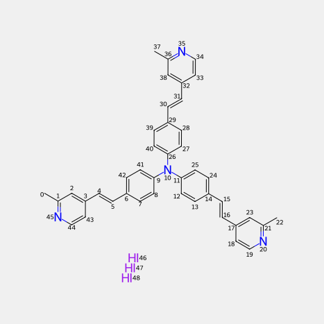 Cc1cc(C=Cc2ccc(N(c3ccc(C=Cc4ccnc(C)c4)cc3)c3ccc(C=Cc4ccnc(C)c4)cc3)cc2)ccn1.I.I.I